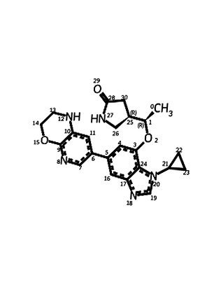 C[C@@H](Oc1cc(-c2cnc3c(c2)NCCO3)cc2ncn(C3CC3)c12)[C@H]1CNC(=O)C1